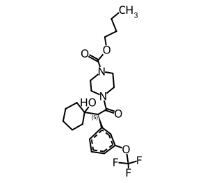 CCCCOC(=O)N1CCN(C(=O)[C@@H](c2cccc(OC(F)(F)F)c2)C2(O)CCCCC2)CC1